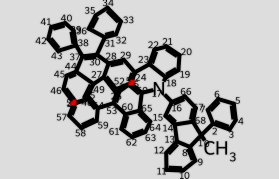 CC1(c2ccccc2)c2ccccc2-c2cc(N(c3ccccc3-c3ccc4c(c3)c(-c3ccccc3)c(-c3ccccc3)c3ccccc34)c3ccc(-c4ccccc4)c4ccccc34)ccc21